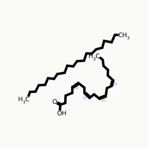 CCCCC/C=C\C/C=C\C/C=C\C/C=C\CCCC(=O)O.CCCCCCCCCCCCCCCCCCCCC